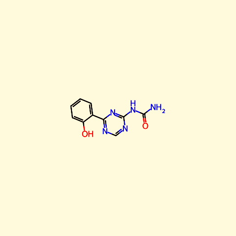 NC(=O)Nc1ncnc(-c2ccccc2O)n1